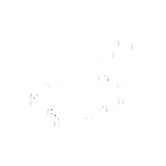 [2H]c1nc(OC)c(-c2ccc3c(C(=O)NC4CC4)n[nH]c3c2)cc1C(=O)N[C@H](C)c1ccccc1C(F)(F)F